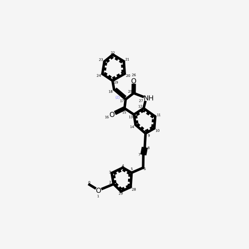 COc1ccc(CC#Cc2ccc3c(c2)C(=O)/C(=C/c2ccccc2)C(=O)N3)cc1